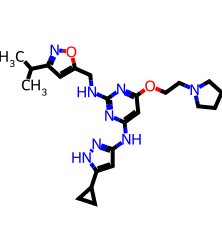 CC(C)c1cc(CNc2nc(Nc3cc(C4CC4)[nH]n3)cc(OCCN3CCCC3)n2)on1